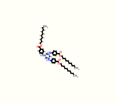 CCCCCCCCCCOC(=O)c1ccc(NN2CN(Nc3ccc(C(=O)OCCCCCCCCCC)cc3)CN(Nc3ccc(C(=O)OCCCCCCCCCC)cc3)C2)cc1